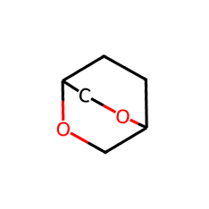 C1CC2COC1CO2